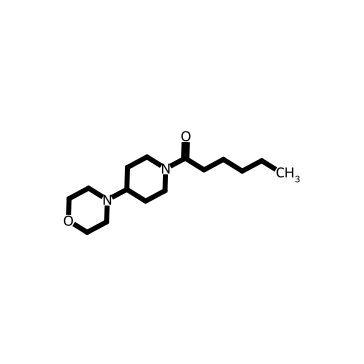 CCCCCC(=O)N1CCC(N2CCOCC2)CC1